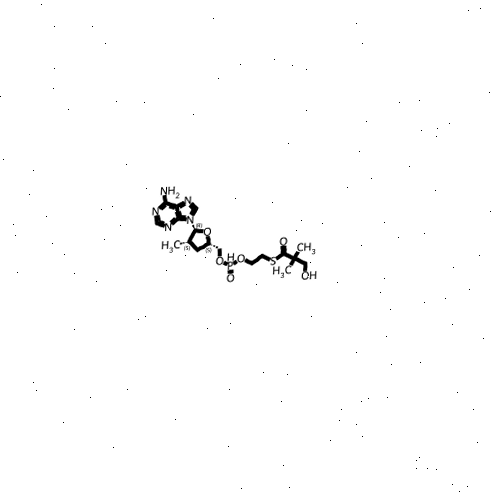 C[C@H]1C[C@@H](CO[PH](=O)OCCSC(=O)C(C)(C)CO)O[C@H]1n1cnc2c(N)ncnc21